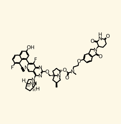 C#Cc1c(F)ccc2cc(O)cc(-c3ncc4c(N5C[C@H]6CC[C@@H](C5)N6)nc(OC[C@@]56CC[C@H](OC(=O)N(C)CCOc7ccc8c(c7)CN(C7CCC(=O)NC7=O)C8=O)N5CC(=C)C6)nc4c3F)c12